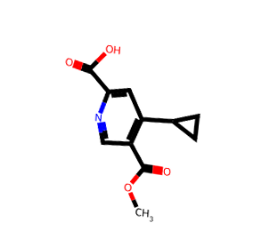 COC(=O)c1cnc(C(=O)O)cc1C1CC1